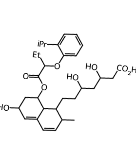 CCC(Oc1ccccc1C(C)C)C(=O)OC1CC(O)C=C2C=CC(C)C(CCC(O)CC(O)CC(=O)O)C21